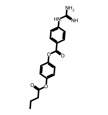 CCCC(=O)Oc1ccc(OC(=O)c2ccc(NC(=N)N)cc2)cc1